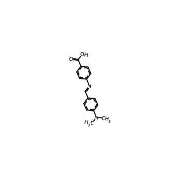 CN(C)c1ccc(C=Nc2ccc(C(=O)O)cc2)cc1